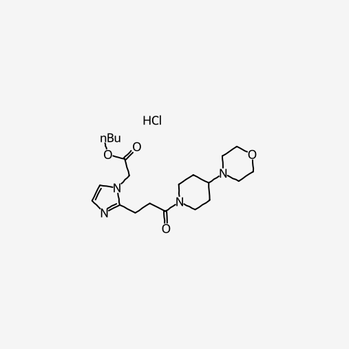 CCCCOC(=O)Cn1ccnc1CCC(=O)N1CCC(N2CCOCC2)CC1.Cl